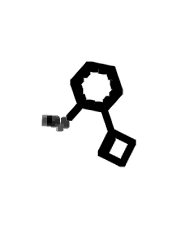 O=S(=O)(O)c1ccccc1C1=CCC1